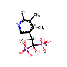 [2H]C(C)(c1cnc(C)c(C)c1C)C(O)(P(=O)(O)O)P(=O)(O)O